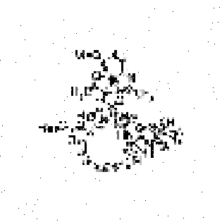 COc1ccc2nc(C(F)(F)F)c3c(c2c1)[C@H](N(C)C)C[C@]1(C[C@H]2C(=O)N[C@]4(C(=O)NS(=O)(=O)C5(C)CC5)C[C@H]4/C=C\CCCCC[C@H](NC(=O)OC(C)(C)C)C(=O)N2C1)O3